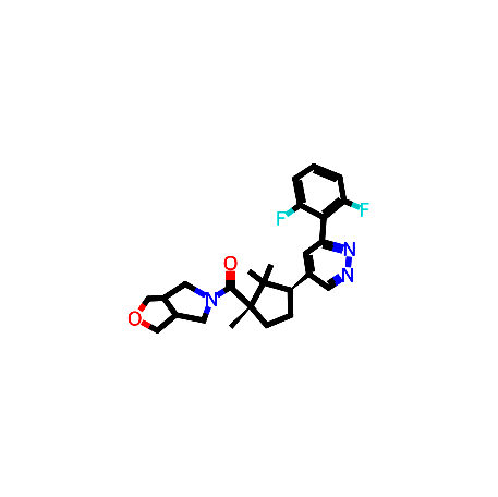 CC1(C)[C@@H](c2cnnc(-c3c(F)cccc3F)c2)CC[C@]1(C)C(=O)N1CC2COCC2C1